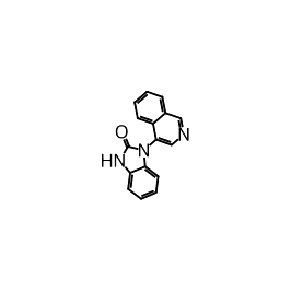 O=c1[nH]c2ccccc2n1-c1cncc2ccccc12